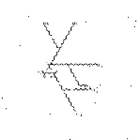 CCCCCCCCCCCCN(CCCCCCCCCCCC)CCCCCCNC(=O)C1CC(C(N)=O)CC(C(=O)N(CCCCCCN(CCCCCCCCCCCC)CCCCCCCCCCCC)CCCCCCN(CCCCCCCCCCCC)CCCCCCCCCCCC)C1